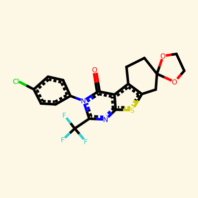 O=c1c2c3c(sc2nc(C(F)(F)F)n1-c1ccc(Cl)cc1)CC1(CC3)OCCO1